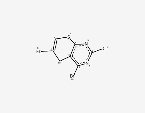 CCC1=CSc2nc(Cl)nc(Br)c2C1